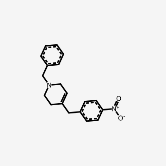 O=[N+]([O-])c1ccc(CC2=CCN(Cc3ccccc3)CC2)cc1